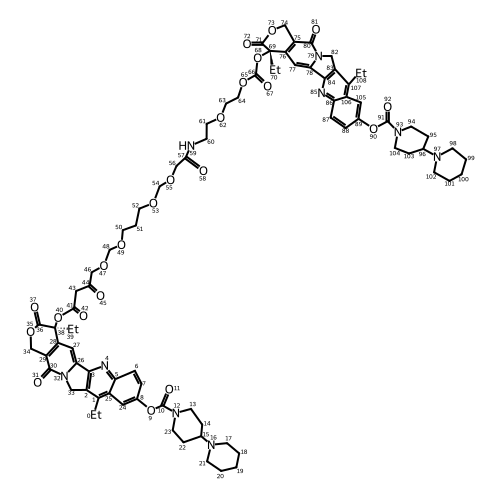 CCc1c2c(nc3ccc(OC(=O)N4CCC(N5CCCCC5)CC4)cc13)-c1cc3c(c(=O)n1C2)COC(=O)[C@@]3(CC)OC(=O)CC(=O)COCOCCCOCOCC(=O)NCCOCCOC(=O)O[C@]1(CC)C(=O)OCc2c1cc1n(c2=O)Cc2c-1nc1ccc(OC(=O)N3CCC(N4CCCCC4)CC3)cc1c2CC